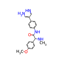 CNC(C(=O)Nc1ccc(/C(C=N)=C/N)cc1)c1ccc(OC)cc1